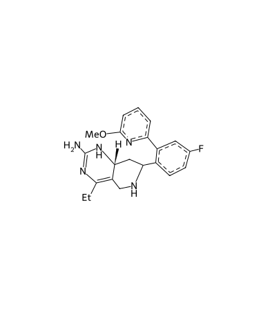 CCC1=C2CNC(c3ccc(F)cc3-c3cccc(OC)n3)C[C@H]2NC(N)=N1